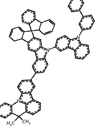 CC1(C)c2ccccc2-n2c3ccc(-c4ccc5c(c4)c4cc6c(cc4n5-c4ccc5c(c4)c4ccccc4n5-c4cccc(-c5ccccc5)c4)C4(C5=CC=CCC56)c5ccccc5C5C=CC=CC54)cc3c3cccc1c32